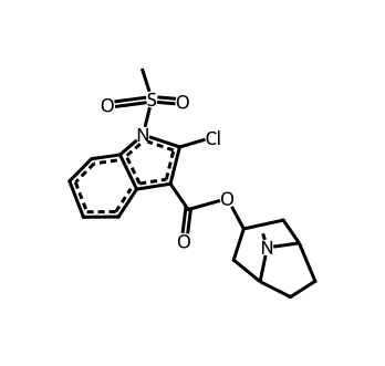 CN1C2CCC1CC(OC(=O)c1c(Cl)n(S(C)(=O)=O)c3ccccc13)C2